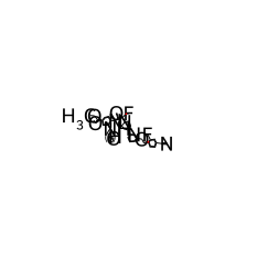 COC(=O)c1ccc(NC(=O)C(CF)N2CCC(c3cccc(OCc4ccc(C#N)cc4F)n3)CC2)c(NC[C@@H]2CCO2)c1